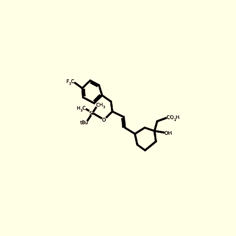 CC(C)(C)[Si](C)(C)OC(C=CC1CCCC(O)(CC(=O)O)C1)Cc1ccc(C(F)(F)F)cc1